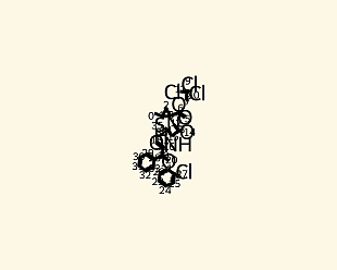 CC12CC1(C(=O)OCC(Cl)(Cl)Cl)N1C(=O)C(NC(=O)C(Oc3ccccc3Cl)c3ccccc3)[C@@H]1S2